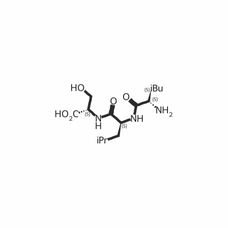 CC[C@H](C)[C@H](N)C(=O)N[C@@H](CC(C)C)C(=O)N[C@@H](CO)C(=O)O